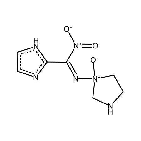 O=[N+]([O-])C(=N[N+]1([O-])CCNC1)c1ncc[nH]1